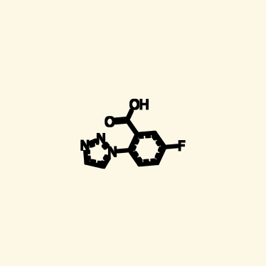 O=C(O)c1cc(F)ccc1-n1ccnn1